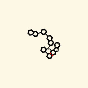 c1ccc(-c2ccccc2N(c2ccc3ccc(-c4cccc(-c5ccc6ccccc6c5)c4)cc3c2)c2cccc3sc4ccccc4c23)cc1